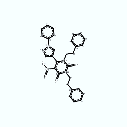 O=c1c([N+](=O)[O-])c(-c2cnn(-c3ccccc3)c2)n(CCc2ccccc2)c(=O)n1CCc1ccccc1